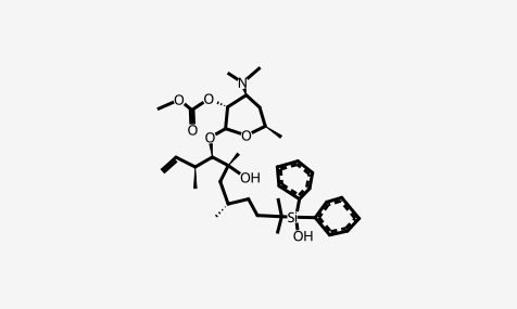 C=C[C@H](C)[C@@H](OC1O[C@H](C)C[C@H](N(C)C)[C@H]1OC(=O)OC)[C@](C)(O)C[C@@H](C)CCC(C)(C)[Si](O)(c1ccccc1)c1ccccc1